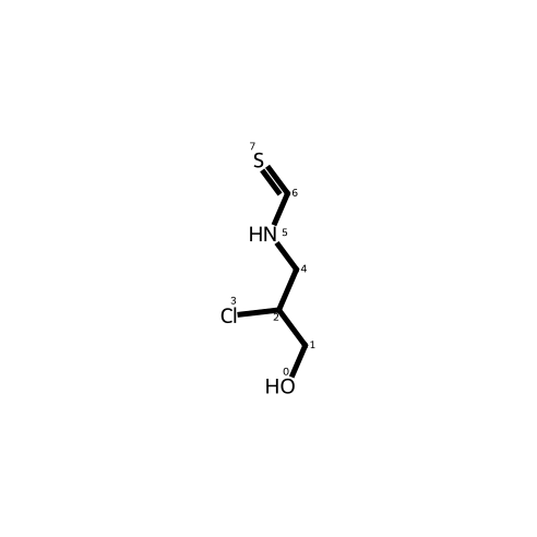 OCC(Cl)CNC=S